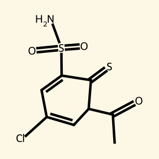 CC(=O)C1C=C(Cl)C=C(S(N)(=O)=O)C1=S